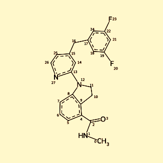 CNC(=O)c1cccc2c1CCN2c1cc(Cc2cc(F)cc(F)c2)ccn1